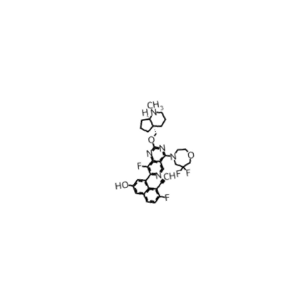 C#Cc1c(F)ccc2cc(O)cc(-c3ncc4c(N5CCOCC(F)(F)C5)nc(OC[C@]56CCC[C@H]5N(C)CCC6)nc4c3F)c12